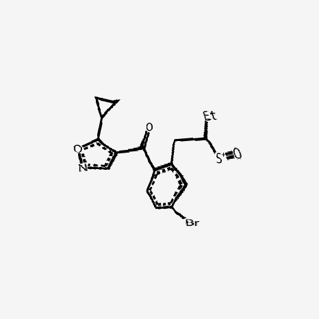 CCC(Cc1cc(Br)ccc1C(=O)c1cnoc1C1CC1)[S+]=O